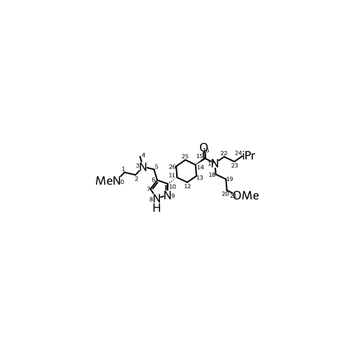 CNCCN(C)Cc1c[nH]nc1[C@H]1CC[C@H](C(=O)N(CCCOC)CCC(C)C)CC1